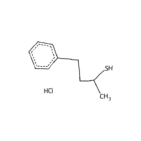 CC(S)CCc1ccccc1.Cl